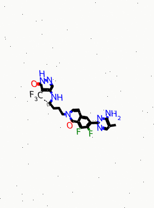 Cc1cnc(-c2cc3ccn(CCC[C@H](C)Nc4cn[nH]c(=O)c4C(F)(F)F)c(=O)c3c(F)c2F)nc1N